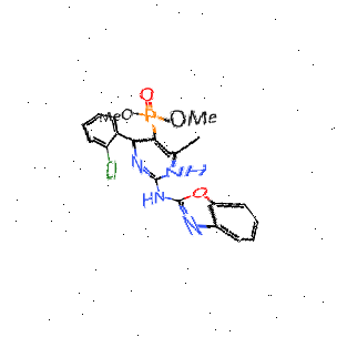 COP(=O)(OC)C1=C(C)NC(Nc2nc3ccccc3o2)=NC1c1ccccc1Cl